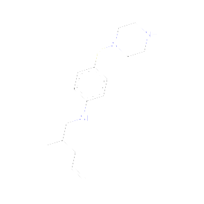 C=CCC(C)CNc1ccc(SN2CCNCC2)cc1